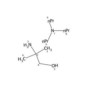 CC(C)(N)CO.CCCN(CCC)CCC